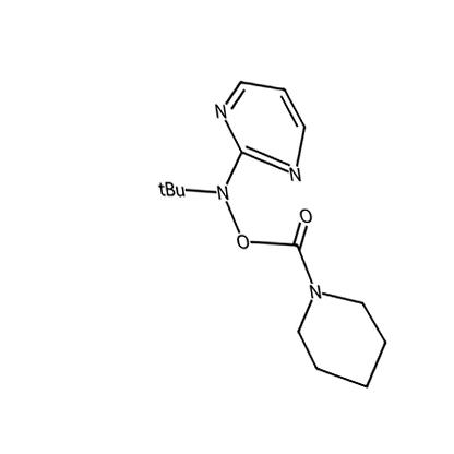 CC(C)(C)N(OC(=O)N1CCCCC1)c1ncccn1